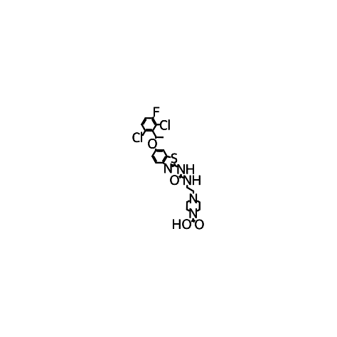 CC(Oc1ccc2nc(NC(=O)NCCN3CCN(C(=O)O)CC3)sc2c1)c1c(Cl)ccc(F)c1Cl